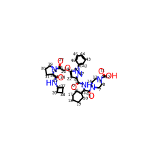 O=C(NC(C(=O)N1CCN(C(=O)O)CC1)C1CCCCC1)c1cc(OCC(=O)N2CCCC2C(=O)NC2CCC2)n(-c2ccccc2)n1